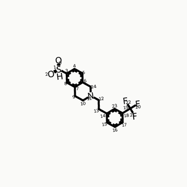 O=[SH](=O)c1ccc2c(c1)CCN(CCc1cccc(C(F)(F)F)c1)C2